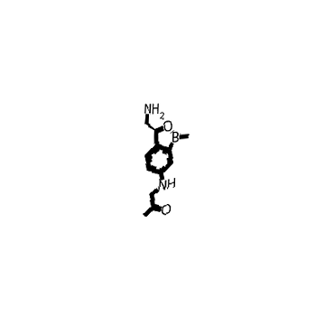 CB1O[C@H](CN)c2ccc(NCC(C)=O)cc21